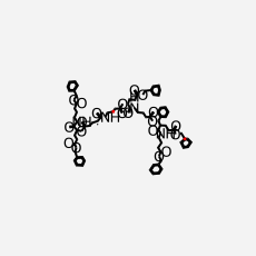 O=C([CH]CCC(=O)OC(CCC(=O)OCc1ccccc1)C(=O)NCCCC(=O)OCc1ccccc1)NCCCC(=O)OC(CCC(=O)OCc1ccccc1)C(=O)NCCCC(=O)OC(c1ccccc1)C(CCC(=O)OCc1ccccc1)C(=O)NCCCC(=O)OCc1ccccc1